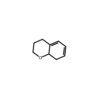 C1=CCC2OCCCC2=C1